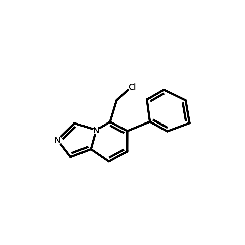 ClCc1c(-c2ccccc2)ccc2cncn12